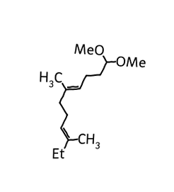 CCC(C)=CCCC(C)=CCCC(OC)OC